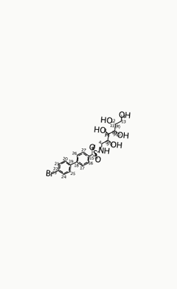 O=S(=O)(NC[C@H](O)[C@@H](O)[C@H](O)[C@H](O)CO)c1ccc(-c2ccc(Br)cc2)cc1